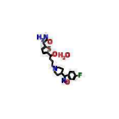 NC(=O)Cc1ccc(C(=O)CCCN2CCC(c3noc4cc(F)ccc34)CC2)s1.O